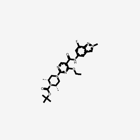 CCOc1nc(N2C[C@@H](C)N(C(=O)OC(C)(C)C)[C@@H](C)C2)ncc1C(=O)Nc1cc(F)c2nn(C)cc2c1